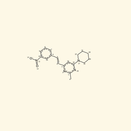 Cc1nc(/C=C/c2cccc([N+](=O)[O-])c2)cc(N2CCCCC2)n1